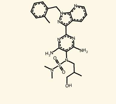 Cc1ccccc1Cn1nc(-c2nc(N)c(N(CC(C)CO)S(=O)(=O)N(C)C)c(N)n2)c2cccnc21